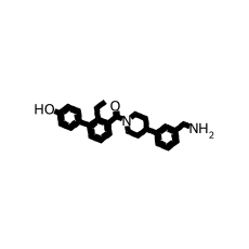 CCc1c(C(=O)N2CCC(c3cccc(CN)c3)CC2)cccc1-c1ccc(O)cc1